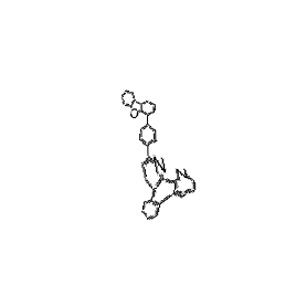 c1ccc2c(c1)oc1c(-c3ccc(-c4ccc5c6ccccc6c6cccnc6c5n4)cc3)cccc12